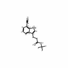 CC(C)(C)OC(=O)CCc1c[nH]c2c(C#N)cccc12